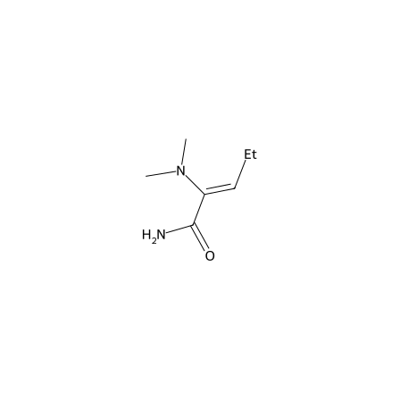 CCC=C(C(N)=O)N(C)C